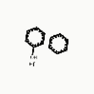 Oc1ccccc1.[Hf].c1ccccc1